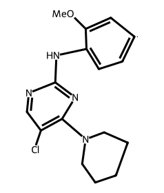 COc1c[c]ccc1Nc1ncc(Cl)c(N2CCCCC2)n1